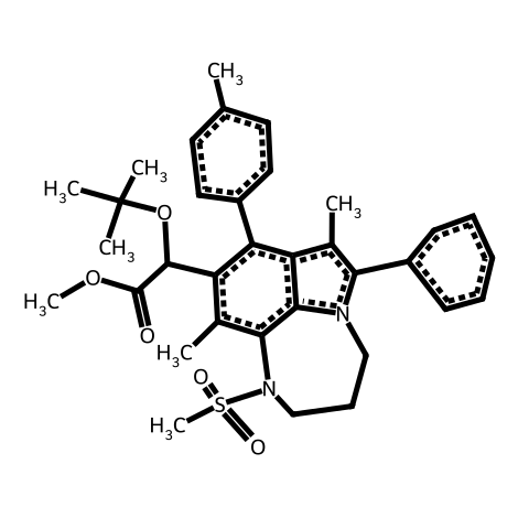 COC(=O)C(OC(C)(C)C)c1c(C)c2c3c(c(C)c(-c4ccccc4)n3CCCN2S(C)(=O)=O)c1-c1ccc(C)cc1